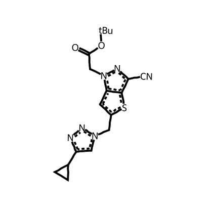 CC(C)(C)OC(=O)Cn1nc(C#N)c2sc(Cn3cc(C4CC4)nn3)cc21